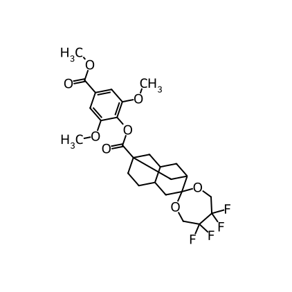 COC(=O)c1cc(OC)c(OC(=O)C23CCC4CC5(OCC(F)(F)C(F)(F)CO5)C(CC4C2)C3)c(OC)c1